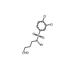 CC(C)N(CCCC=O)S(=O)(=O)c1ccc(Cl)c(Cl)c1